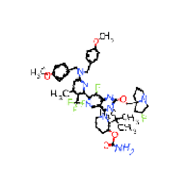 COc1ccc(CN(Cc2ccc(OC)cc2)c2cc(C)c(C(F)(F)F)c(-c3ncc4c(N5CCCC(OC(N)=O)[C@@H]5C(C)(C)C)nc(OC[C@@]56CCCN5C[C@H](F)C6)nc4c3F)n2)cc1